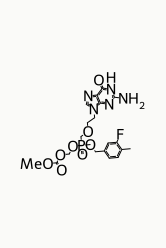 COC(=O)OCOP(=O)(COCCn1cnc2c(=O)[nH]c(N)nc21)OCc1ccc(C)c(F)c1